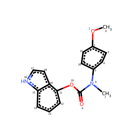 COc1ccc(N(C)C(=O)Oc2cccc3[nH]ccc23)cc1